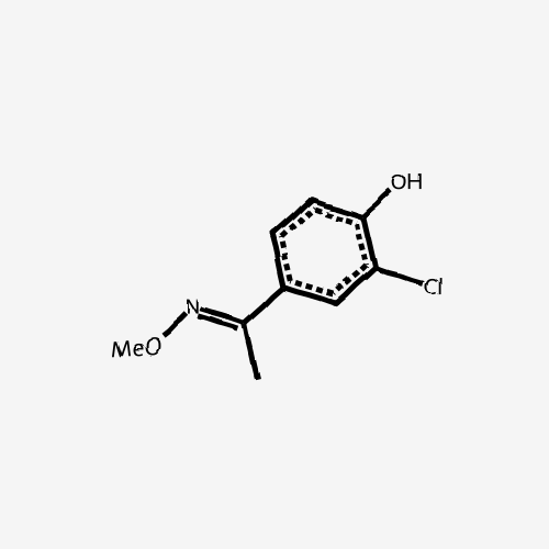 CO/N=C(\C)c1ccc(O)c(Cl)c1